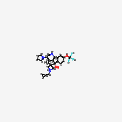 CC1([C@](O)(c2ccc(OC(F)(F)F)cc2)c2cncc(N3CCCC3)c2)CN(CC2CC2)C1